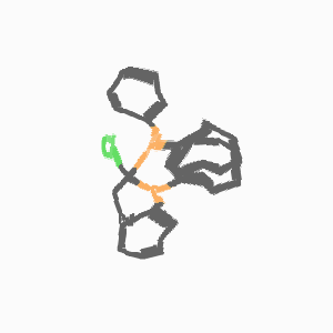 ClC([CH2][Pd])(P(c1ccccc1)c1ccccc1)P(c1ccccc1)c1ccccc1